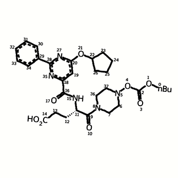 CCCCOC(=O)ON1CCN(C(=O)[C@H](CCC(=O)O)NC(=O)c2cc(OC3CCCC3)nc(-c3ccccc3)n2)CC1